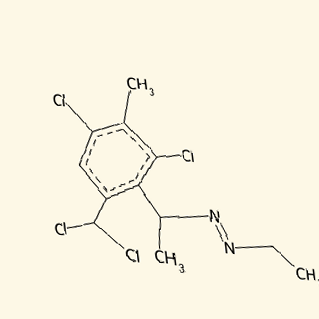 CCN=NC(C)c1c(C(Cl)Cl)cc(Cl)c(C)c1Cl